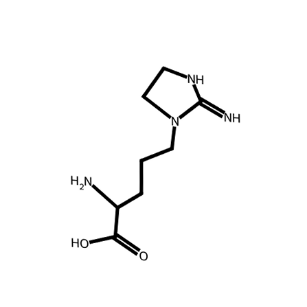 N=C1NCCN1CCCC(N)C(=O)O